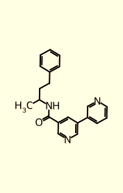 CC(CCc1ccccc1)NC(=O)c1cncc(-c2cccnc2)c1